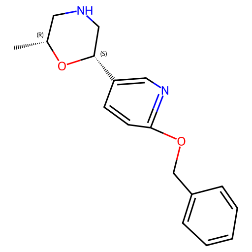 C[C@@H]1CNC[C@H](c2ccc(OCc3ccccc3)nc2)O1